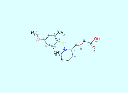 COc1cc(C)c(SN2CCCCC2COCC(=O)O)c(C)c1